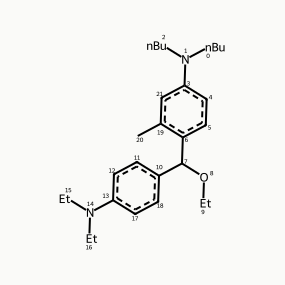 CCCCN(CCCC)c1ccc(C(OCC)c2ccc(N(CC)CC)cc2)c(C)c1